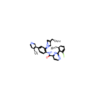 COCC1CN(c2cc(-c3cnccc3C#N)ccc2NC(=O)c2ccnc(-c3c(F)cccc3OC)n2)C1